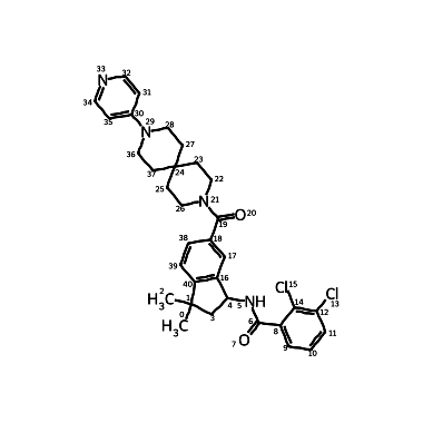 CC1(C)CC(NC(=O)c2cccc(Cl)c2Cl)c2cc(C(=O)N3CCC4(CC3)CCN(c3ccncc3)CC4)ccc21